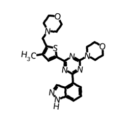 Cc1cc(-c2nc(-c3cccc4[nH]ncc34)nc(N3CCOCC3)n2)sc1CN1CCOCC1